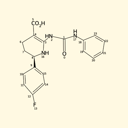 O=C(NC1=C(C(=O)O)CC[C@H](c2ccc(F)cc2)N1)Nc1ccccc1